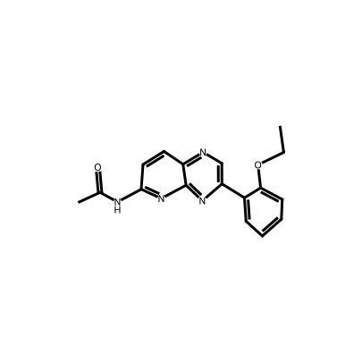 CCOc1ccccc1-c1cnc2ccc(NC(C)=O)nc2n1